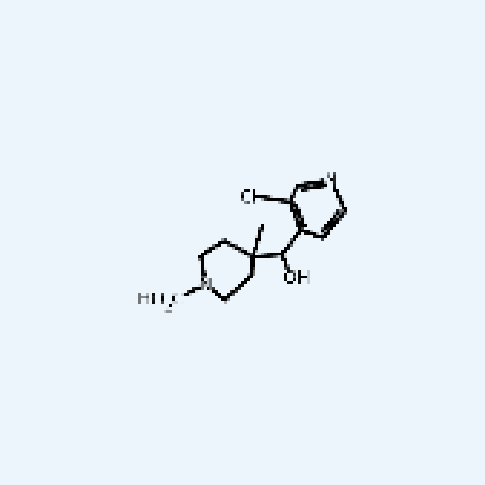 CC1(C(O)c2ccncc2Cl)CCN(C(=O)O)CC1